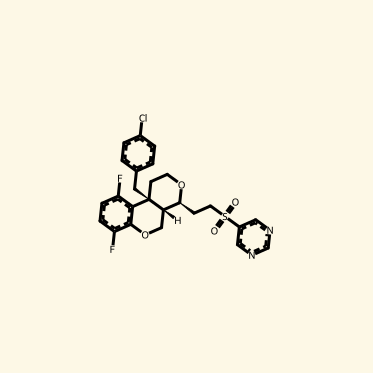 O=S(=O)(CC[C@@H]1OCC[C@@]2(Cc3ccc(Cl)cc3)c3c(F)ccc(F)c3OC[C@@H]12)c1cncnc1